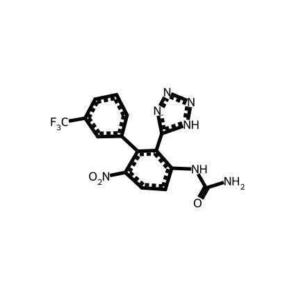 NC(=O)Nc1ccc([N+](=O)[O-])c(-c2cccc(C(F)(F)F)c2)c1-c1nnn[nH]1